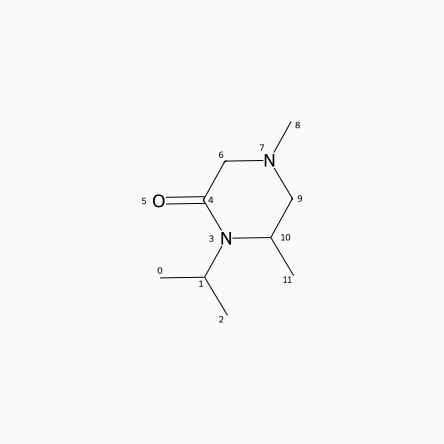 CC(C)N1C(=O)CN(C)CC1C